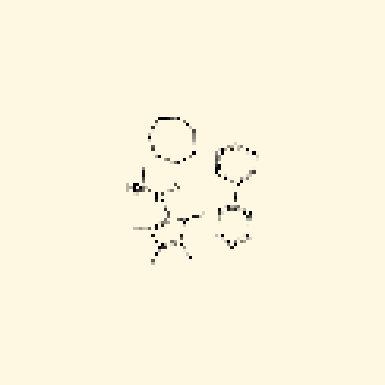 CC1=C(C)C(C)[C]([Ti]([NH]C2CCCCCC2)[SiH](C)C)=C1C.c1ccc(-c2ccccc2)cc1